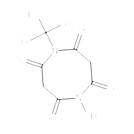 CCCC(C)(CC)N1C(=O)CC(=O)N(C)C(=O)CC1=O